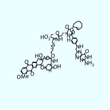 COc1cccc2c1C(=O)c1cc3c(cc1C2=O)C[C@@](O)(C(C)=O)C[C@@H]3O[C@@H]1C[C@@H](C)[C@@H](O)[C@H](NC(=O)OCCSSC[C@@H](NC(=O)CC[C@@H](NC(=O)c2ccc(NCc3cnc4nc(N)[nH]c(=O)c4n3)cc2)C(=O)OC2/C=C/CCCCC2)C(=O)O)C1